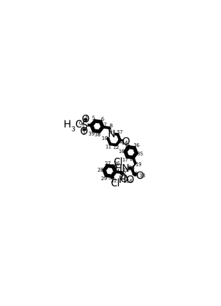 CS(=O)(=O)c1ccc(CN2CCC[C@H](Oc3ccc(C[C@H](NC(=O)c4c(Cl)cccc4Cl)C(=O)O)cc3)C2)cc1